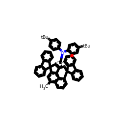 Cc1cc2c3c4c(cccc14)C1(c4ccccc4-c4ccccc41)c1cc(N(c4ccc(C(C)(C)C)cc4)c4ccc(C(C)(C)C)cc4)cc(c1-3)C21c2ccccc2-c2ccccc21